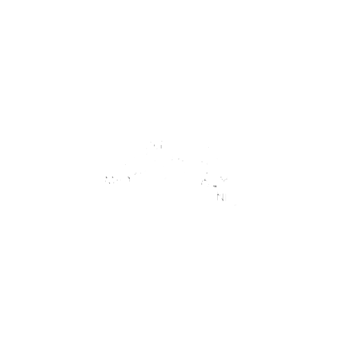 COc1ccc(Cl)c(-c2ccc3c(c2)CCC(C)(C)C3OC(N)=O)c1